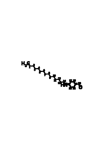 CCCCCCCCCCCCCCCNc1ccc(C=O)cc1